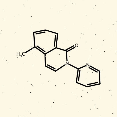 Cc1cccc2c(=O)n(-c3ccccn3)ccc12